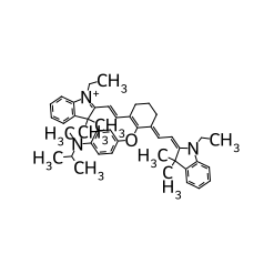 CCN1/C(=C/C=C2\CCCC(/C=C/C3=[N+](CC)c4ccccc4C3(C)C)=C2Oc2ccc(N(C)C(C)C)cc2)C(C)(C)c2ccccc21